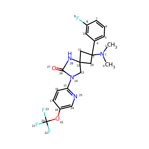 CN(C)C1(c2cccc(F)c2)CC2(CN(c3ccc(OC(F)(F)F)cn3)C(=O)N2)C1